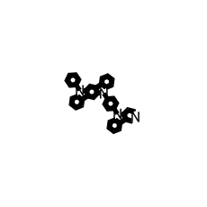 c1ccc(-n2c3ccccc3c3cc4c(cc32)c2ccccc2n4-c2ccc(-n3c4ccccc4c4cnccc43)cc2)cc1